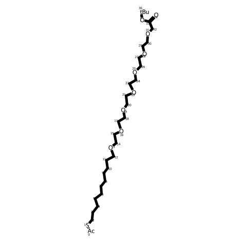 CC(=O)SCCCCCCCCCCCOCCOCCOCCOCCOCCOCCOCC(=O)OC(C)(C)C